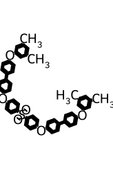 Cc1cc(C)cc(Oc2ccc(-c3ccc(Oc4ccc(S(=O)(=O)c5ccc(Oc6ccc(-c7ccc(Oc8cc(C)cc(C)c8)cc7)cc6)cc5)cc4)cc3)cc2)c1